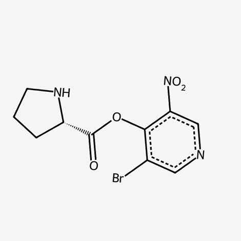 O=C(Oc1c(Br)cncc1[N+](=O)[O-])[C@@H]1CCCN1